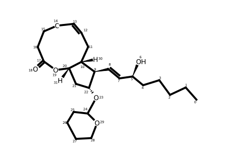 CCCCC[C@H](O)/C=C/[C@@H]1[C@H]2C/C=C\CCCC(=O)O[C@H]2C[C@H]1OC1CCCCO1